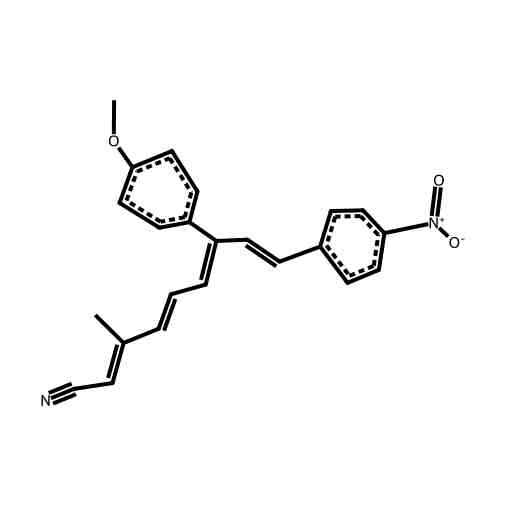 COc1ccc(C(=C\C=C\C(C)=C\C#N)/C=C/c2ccc([N+](=O)[O-])cc2)cc1